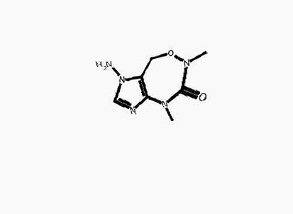 CN1OCc2c(ncn2N)N(C)C1=O